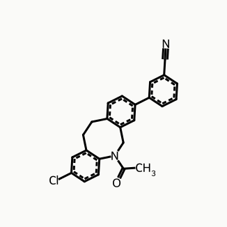 CC(=O)N1Cc2cc(-c3cccc(C#N)c3)ccc2CCc2cc(Cl)ccc21